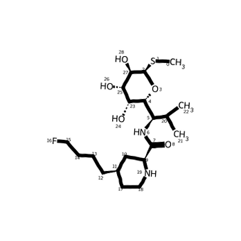 CS[C@H]1O[C@H]([C@H](NC(=O)[C@@H]2C[C@H](CCCCF)CCN2)C(C)C)[C@H](O)[C@H](O)[C@H]1O